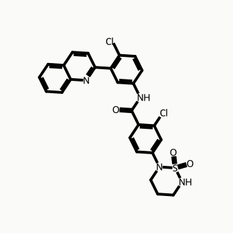 O=C(Nc1ccc(Cl)c(-c2ccc3ccccc3n2)c1)c1ccc(N2CCCNS2(=O)=O)cc1Cl